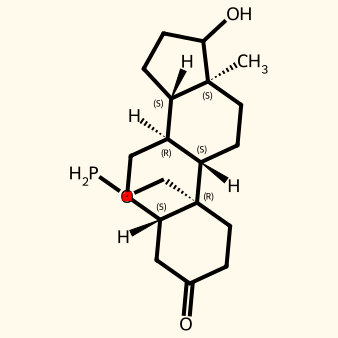 C[C@]12CC[C@H]3[C@@H](CC[C@H]4CC(=O)CC[C@@]43COP)[C@@H]1CCC2O